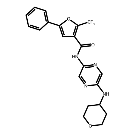 O=C(Nc1cnc(NC2CCOCC2)cn1)c1cc(-c2ccccc2)oc1C(F)(F)F